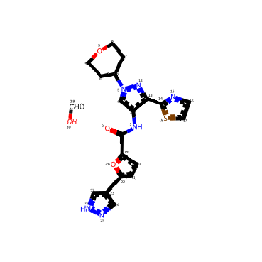 O=C(Nc1cn(C2CCOCC2)nc1-c1nccs1)c1ccc(-c2cn[nH]c2)o1.O=CO